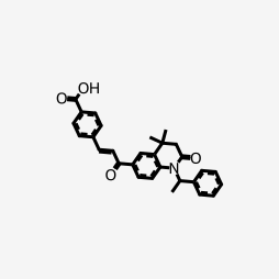 CC(c1ccccc1)N1C(=O)CC(C)(C)c2cc(C(=O)C=Cc3ccc(C(=O)O)cc3)ccc21